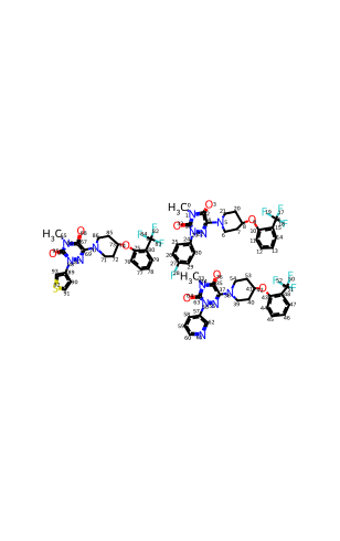 Cn1c(=O)c(N2CCC(Oc3ccccc3C(F)(F)F)CC2)nn(-c2ccc(F)cc2)c1=O.Cn1c(=O)c(N2CCC(Oc3ccccc3C(F)(F)F)CC2)nn(-c2cccnc2)c1=O.Cn1c(=O)c(N2CCC(Oc3ccccc3C(F)(F)F)CC2)nn(-c2ccsc2)c1=O